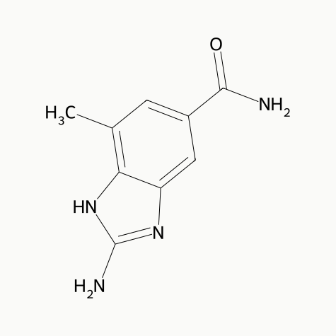 Cc1cc(C(N)=O)cc2nc(N)[nH]c12